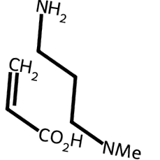 C=CC(=O)O.CNCCCN